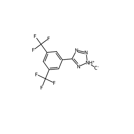 [CH2-][NH+]1N=NC(c2cc(C(F)(F)F)cc(C(F)(F)F)c2)=N1